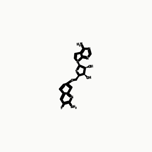 Nc1nc2cc(OC[C@H]3S[C@@H](n4ccc5c(N)ncnc54)[C@H](O)[C@@H]3O)ccc2cc1F